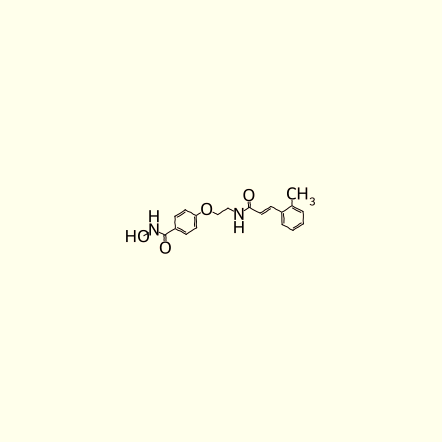 Cc1ccccc1/C=C/C(=O)NCCOc1ccc(C(=O)NO)cc1